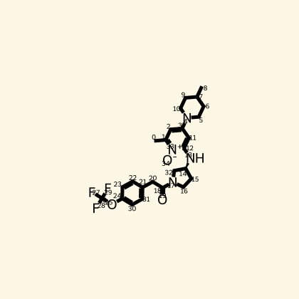 Cc1cc(N2CCC(C)CC2)cc(N[C@H]2CCN(C(=O)Cc3ccc(OC(F)(F)F)cc3)C2)[n+]1[O-]